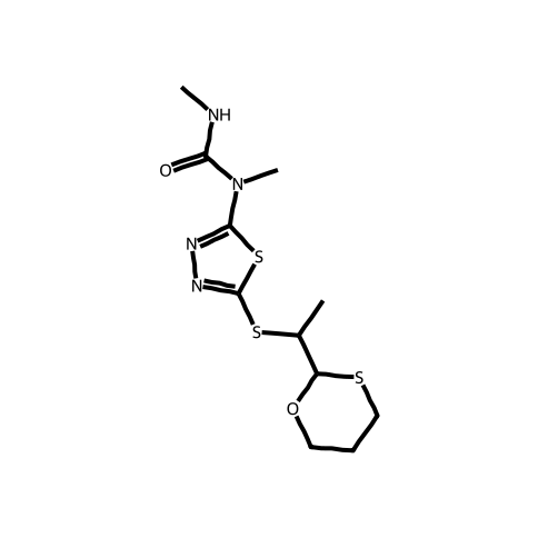 CNC(=O)N(C)c1nnc(SC(C)C2OCCCS2)s1